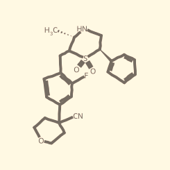 C[C@@H]1NC[C@@H](c2ccccc2)S(=O)(=O)C1Cc1ccc(C2(C#N)CCOCC2)cc1F